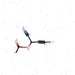 CC(=O)OC(C#N)C#CI